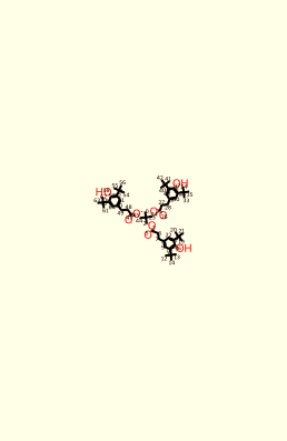 [CH2]C(COC(=O)CCc1cc(C(C)(C)C)c(O)c(C(C)(C)C)c1)(COC(=O)CCc1cc(C(C)(C)C)c(O)c(C(C)(C)C)c1)COC(=O)CCc1cc(C(C)(C)C)c(O)c(C(C)(C)C)c1